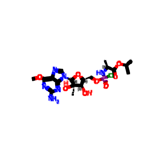 COc1nc(N)nc2c1ncn2[C@@H]1O[C@H](COP(=O)(Cl)N[C@@H](C)C(=O)OC(C)C)[C@@H](O)[C@@]1(C)O